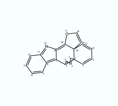 C1=CC23C=NC=C2C2=c4ccccc4=NC2=C2OC=CC23C=C1